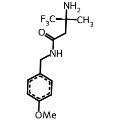 COc1ccc(CNC(=O)C[C@@](C)(N)C(F)(F)F)cc1